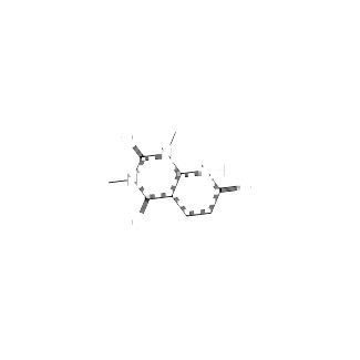 Cn1c(=O)c2ccc(=O)[nH]c2n(C)c1=O